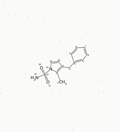 Cc1c(Cc2ccccc2)ccn1S(N)(=O)=O